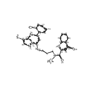 CN(CCCNc1cc(-c2ccccc2Cl)nc2c(Br)cnn12)C(=O)c1cc(=O)c2ccccc2o1